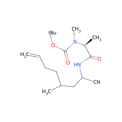 C=CCCC(C)CC(C#N)NC(=O)[C@H](C)N(C)C(=O)OC(C)(C)C